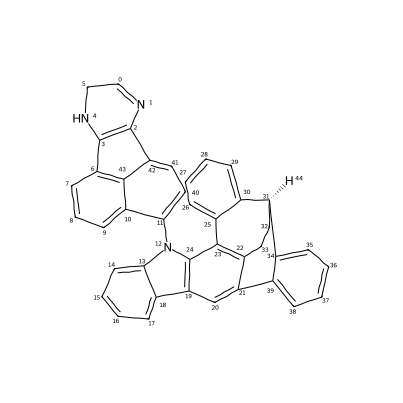 C1=NC2=C(NC1)c1cccc3c(-n4c5ccccc5c5cc6c7c(c54)-c4ccccc4[C@H](CC7)c4ccccc4-6)ccc2c13